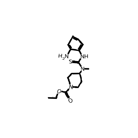 CCOC(=O)N1CCC(N(C)C(=S)Nc2ccccc2N)CC1